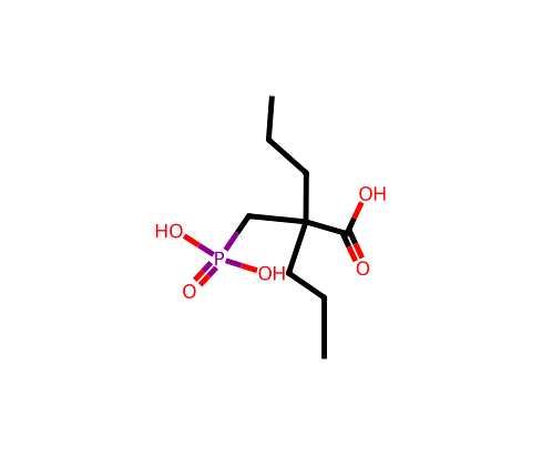 CCCC(CCC)(CP(=O)(O)O)C(=O)O